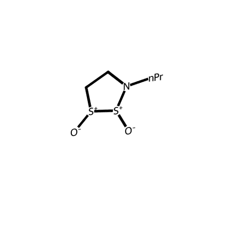 CCCN1CC[S+]([O-])[S+]1[O-]